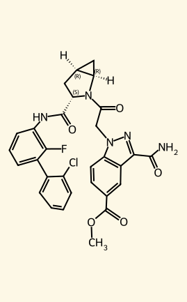 COC(=O)c1ccc2c(c1)c(C(N)=O)nn2CC(=O)N1[C@@H]2C[C@@H]2C[C@H]1C(=O)Nc1cccc(-c2ccccc2Cl)c1F